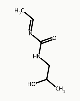 CC=NC(=O)NCC(C)O